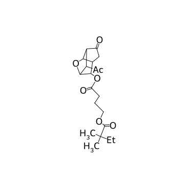 CCC(C)(C)C(=O)OCCCC(=O)OC1C2CC(=O)C3C2OC1C3C(C)=O